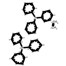 C=C.c1ccc(P(c2ccccc2)c2ccccc2)cc1.c1ccc(P(c2ccccc2)c2ccccc2)cc1